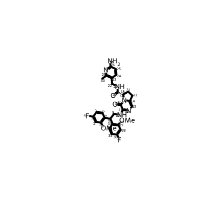 COc1cc(F)ccc1C(CNc1ncc2n(c1=O)[C@H](C(=O)NCc1ccc(N)nc1C)CC2)c1ccc(F)cc1OC